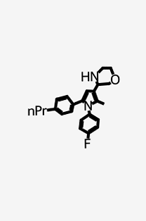 CCCc1ccc(-c2cc(C3COCCN3)c(C)n2-c2ccc(F)cc2)cc1